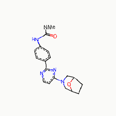 CNC(=O)Nc1ccc(-c2nccc(N3CC4CCC(C3)O4)n2)cc1